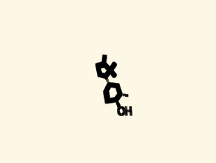 CC1=CCC([C@H]2C=C[C@H](O)[C@@H](C)C2)C1(C)C